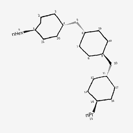 CCCCCC[C@H]1CC[C@H](C[C@H]2CC[C@H](C[C@H]3CC[C@H](CCC)CC3)CC2)CC1